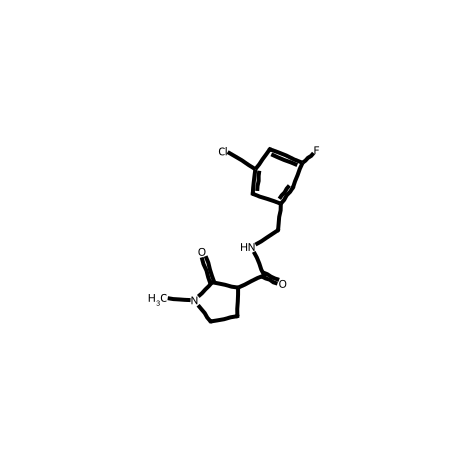 CN1CCC(C(=O)NCc2cc(F)cc(Cl)c2)C1=O